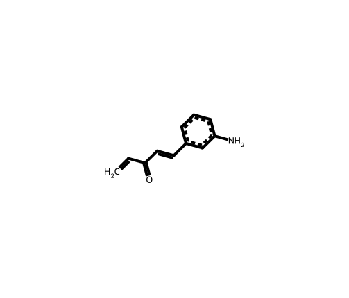 C=CC(=O)C=Cc1cccc(N)c1